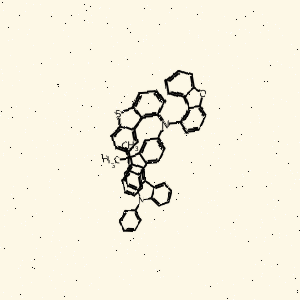 CC1(C)c2ccccc2-c2ccc(N(c3cccc4oc5ccccc5c34)c3cccc4sc5ccc(-c6ccc7c(c6)c6ccccc6n7-c6ccccc6)cc5c34)cc21